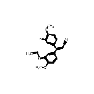 CCOc1cc(C(=CC#N)c2ccc(OC)c(F)c2)ccc1OC